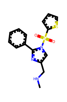 CNCc1cn(S(=O)(=O)c2cccs2)c(-c2ccccc2)n1